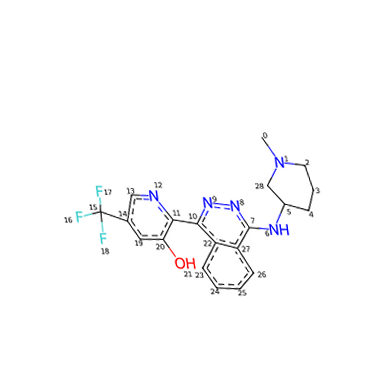 CN1CCCC(Nc2nnc(-c3ncc(C(F)(F)F)cc3O)c3ccccc23)C1